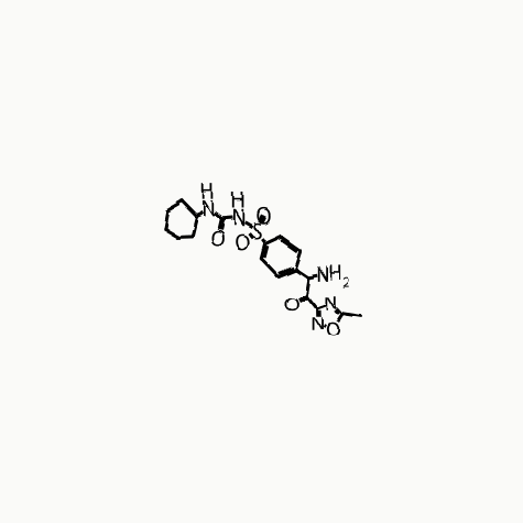 Cc1nc(C(=O)C(N)c2ccc(S(=O)(=O)NC(=O)NC3CCCCC3)cc2)no1